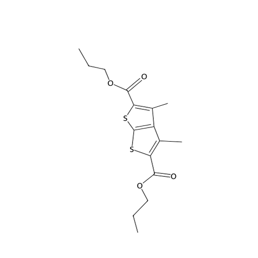 CCCOC(=O)c1sc2sc(C(=O)OCCC)c(C)c2c1C